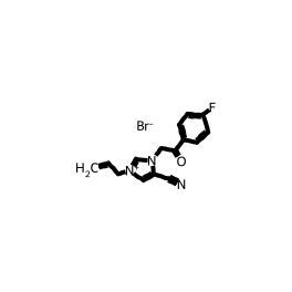 C=CC[n+]1cc(C#N)n(CC(=O)c2ccc(F)cc2)c1.[Br-]